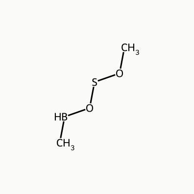 CBOSOC